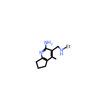 CCNCc1c(N)nc2c(c1C)CCC2